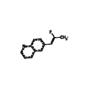 [CH2]/C(F)=C/c1ccc2ncccc2c1